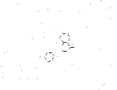 COc1ccc2c(=O)[nH]c(Cc3ccc(I)cc3)nc2c1